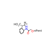 CCCCCOCC(=O)Nc1ccccc1C(C)C(=O)O